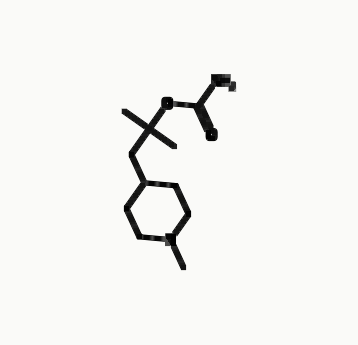 CN1CCC(CC(C)(C)OC(N)=O)CC1